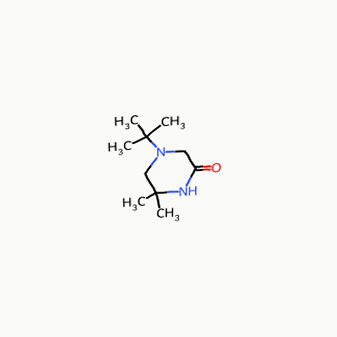 CC1(C)CN(C(C)(C)C)CC(=O)N1